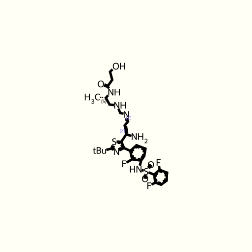 C[C@@H](CNC/N=C\C=C(/N)c1sc(C(C)(C)C)nc1-c1cccc(NS(=O)(=O)c2c(F)cccc2F)c1F)NC(=O)CCO